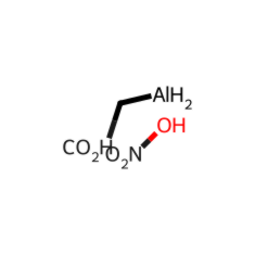 O=C(O)[CH2][AlH2].O=[N+]([O-])O